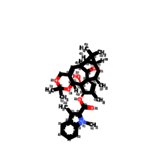 CC1=C[C@]23C(O)[C@@H](C=C4COC(C)(C)O[C@H]4[C@]2(O)[C@H]1OC(=O)c1c(C)c2ccccc2n1C)[C@H]1[C@@H](C[C@H]3C)C1(C)C